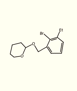 CCc1cccc(COC2CCCCO2)c1Br